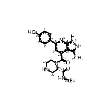 Cc1n[nH]c2nc(-c3ccc(O)cc3)cc(C(=O)N3CCNC[C@H]3C(=O)NC(C)(C)C)c12